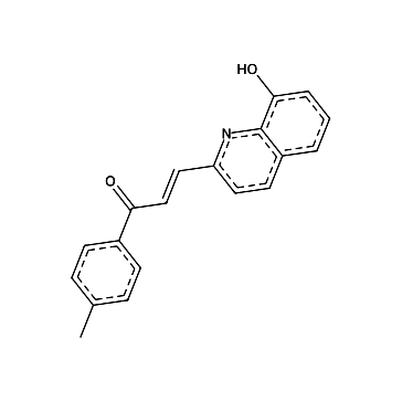 Cc1ccc(C(=O)/C=C/c2ccc3cccc(O)c3n2)cc1